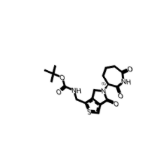 CC(C)(C)OC(=O)NCc1scc2c1CN([C@H]1CCCC(=O)NC1=O)C2=O